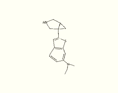 CN(C)c1ccc2cc(C34CNCC3C4)sc2c1